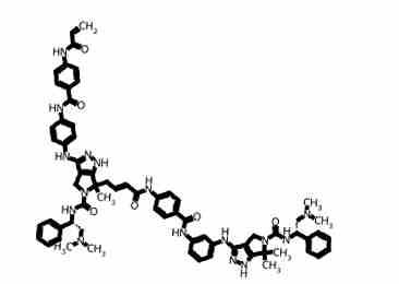 C=CC(=O)Nc1ccc(C(=O)Nc2ccc(Nc3n[nH]c4c3CN(C(=O)N[C@H](CN(C)C)c3ccccc3)C4(C)C/C=C/C(=O)Nc3ccc(C(=O)Nc4cccc(Nc5n[nH]c6c5CN(C(=O)N[C@H](CN(C)C)c5ccccc5)C6(C)C)c4)cc3)cc2)cc1